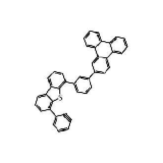 c1cccc(-c2cccc3c2sc2c(-c4cccc(-c5ccc6c7ccccc7c7ccccc7c6c5)c4)cccc23)c#1